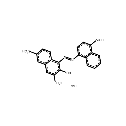 O=S(=O)(O)c1ccc2c(N=Nc3ccc(S(=O)(=O)O)c4ccccc34)c(O)c(S(=O)(=O)O)cc2c1.[NaH]